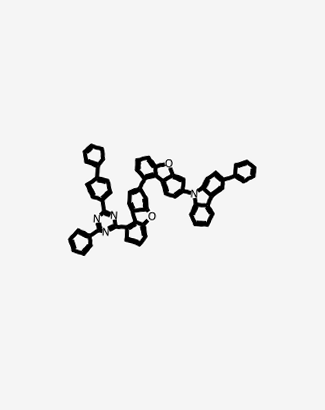 C1=CCCC(c2ccc(-c3nc(-c4ccccc4)nc(-c4cccc5oc6cc(-c7cccc8oc9cc(-n%10c%11ccccc%11c%11cc(-c%12ccccc%12)ccc%11%10)ccc9c78)ccc6c45)n3)cc2)=C1